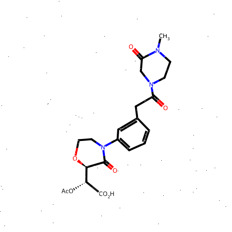 CC(=O)O[C@@H](C(=O)O)[C@H]1OCCN(c2cccc(CC(=O)N3CCN(C)C(=O)C3)c2)C1=O